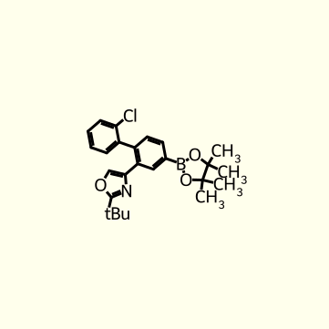 CC(C)(C)c1nc(-c2cc(B3OC(C)(C)C(C)(C)O3)ccc2-c2ccccc2Cl)co1